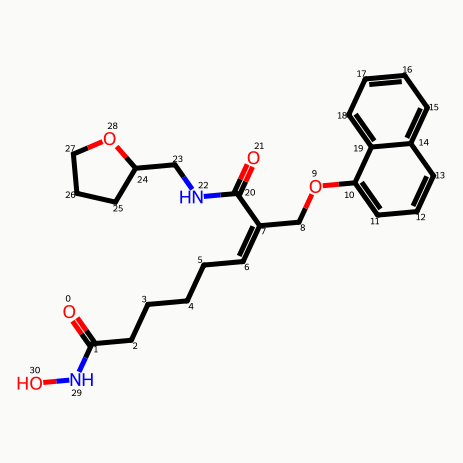 O=C(CCCCC=C(COc1cccc2ccccc12)C(=O)NCC1CCCO1)NO